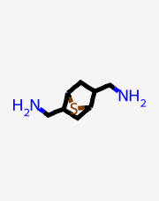 NCC1CC2SC1CC2CN